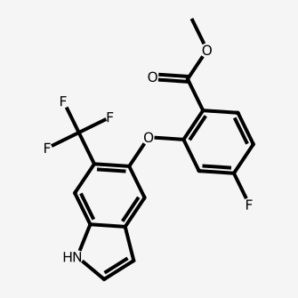 COC(=O)c1ccc(F)cc1Oc1cc2cc[nH]c2cc1C(F)(F)F